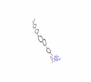 C=NC(=N)/C(=C\C(C)C)SCc1ccc(-c2ccc3cc(-c4ccc(-c5ccc(SI)cc5)cc4)ccc3c2)cc1